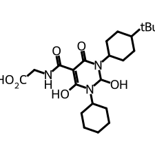 CC(C)(C)C1CCC(N2C(=O)C(C(=O)NCC(=O)O)=C(O)N(C3CCCCC3)C2O)CC1